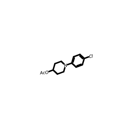 CC(=O)OC1CCN(c2ccc(Cl)cc2)CC1